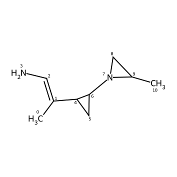 C/C(=C\N)C1CC1N1CC1C